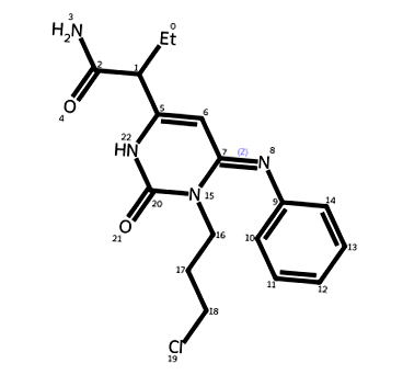 CCC(C(N)=O)c1c/c(=N/c2ccccc2)n(CCCCl)c(=O)[nH]1